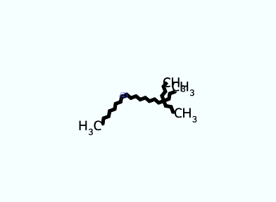 CCCCCCCC/C=C\CCCCCCCC(CCCC)(CCCC)CCCC